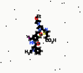 CCOC1CN([C@H]2C[C@@H](c3ncc(CCC(=O)O)s3)N(C(=O)Cc3cc(CI)c(NC(=O)c4cn(C)c5ccccc45)cc3F)C2)C1